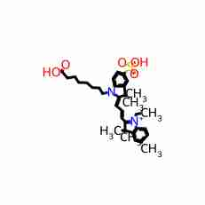 CC[N+]1=C(/C=C/C=C2/N(CCCCCCCC(=O)O)c3ccc(S(=O)(=O)O)cc3C2(C)C)C(C)(C)c2cc(C)ccc21